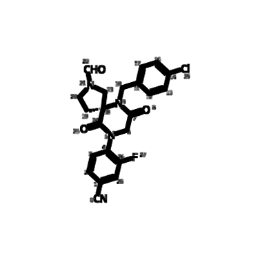 N#Cc1ccc(N2CC(=O)N(Cc3ccc(Cl)cc3)[C@@]3(CCN(C=O)C3)C2=O)c(F)c1